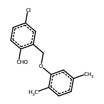 Cc1ccc(C)c(OCc2cc(Cl)ccc2C=O)c1